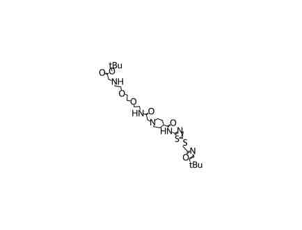 CC(C)(C)OC(=O)CNCCOCCOCCNC(=O)CN1CCC(C(=O)Nc2ncc(SCc3ncc(C(C)(C)C)o3)s2)CC1